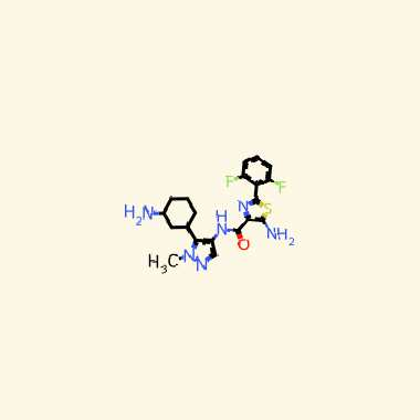 Cn1ncc(NC(=O)c2nc(-c3c(F)cccc3F)sc2N)c1C1CCCC(N)C1